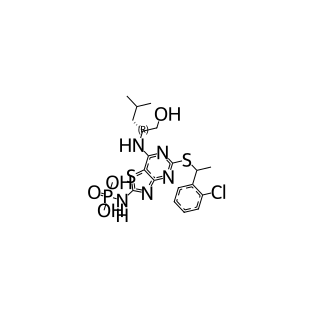 CC(C)C[C@H](CO)Nc1nc(SC(C)c2ccccc2Cl)nc2nc(NP(=O)(O)O)sc12